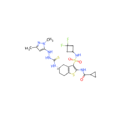 Cc1cc(NNC(=S)N[C@H]2CCc3sc(NC(=O)C4CC4)c(S(=O)(=O)NC4CC(F)(F)C4)c3C2)n(C)n1